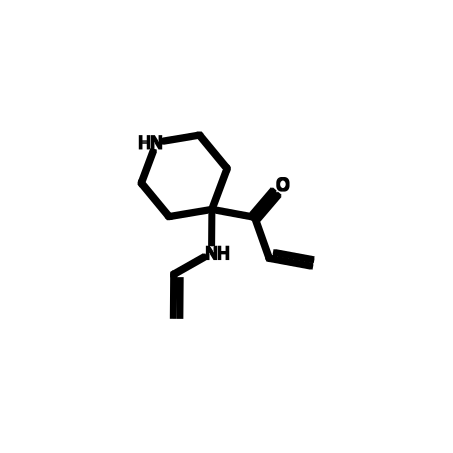 C=CNC1(C(=O)C=C)CCNCC1